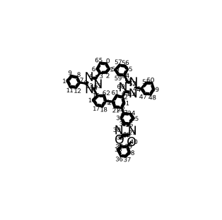 c1ccc(-c2nc(-c3ccccc3)nc(-c3cccc(-c4cc(-c5ccc6nc7c(nc6c5)Oc5ccccc5O7)cc(-c5nc(-c6ccccc6)nc(-c6ccccc6)n5)c4)c3)n2)cc1